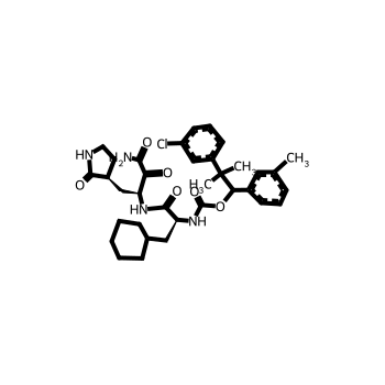 Cc1cccc(C(OC(=O)N[C@@H](CC2CCCCC2)C(=O)N[C@@H](C[C@@H]2CCNC2=O)C(=O)C(N)=O)C(C)(C)c2cccc(Cl)c2)c1